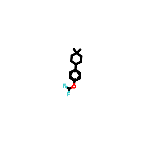 CC1(C)CCC(c2ccc(OC(F)F)cc2)CC1